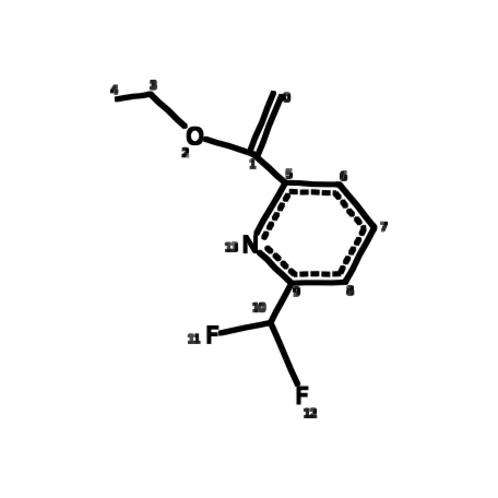 C=C(OCC)c1cccc(C(F)F)n1